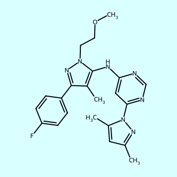 COCCn1nc(-c2ccc(F)cc2)c(C)c1Nc1cc(-n2nc(C)cc2C)ncn1